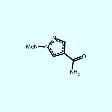 CNn1cc(C(N)=O)cn1